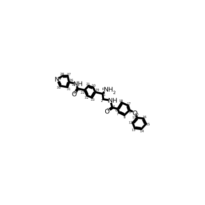 NC(CNC(=O)c1ccc(Oc2ccccc2)cc1)c1ccc(C(=O)Nc2ccncc2)cc1